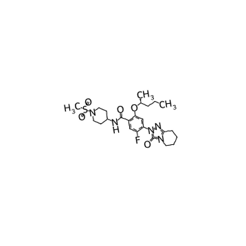 CCC[C@H](C)Oc1cc(-n2nc3n(c2=O)CCCC3)c(F)cc1C(=O)NC1CCN(S(C)(=O)=O)CC1